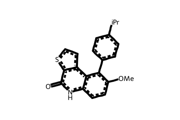 COc1ccc2[nH]c(=O)c3sccc3c2c1-c1ccc(C(C)C)cc1